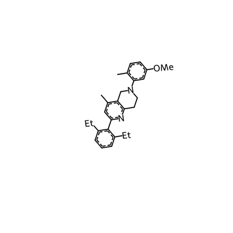 CCc1cccc(CC)c1-c1cc(C)c2c(n1)CCN(c1cc(OC)ccc1C)C2